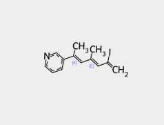 C=C(I)/C=C(C)/C=C(\C)c1cccnc1